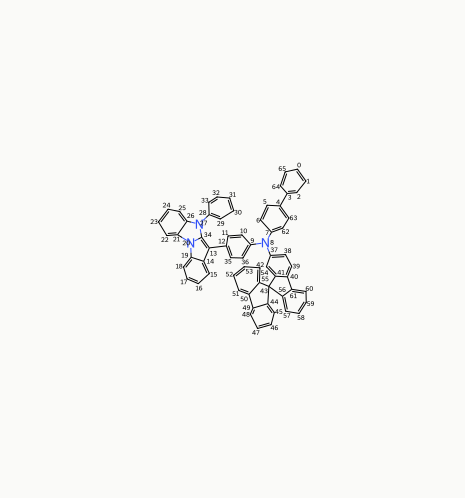 c1ccc(-c2ccc(N(c3ccc(-c4c5ccccc5n5c6ccccc6n(-c6ccccc6)c45)cc3)c3ccc4c(c3)C3(c5ccccc5-c5ccccc53)c3ccccc3-4)cc2)cc1